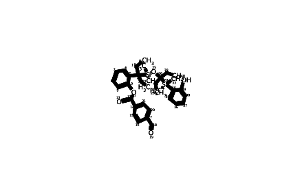 CCC(CC)(c1ccccc1OC(=O)c1ccc(C=O)cc1)[Si](C)(C)OC(CC)(CC)[Si](C)(C)c1ccccc1O